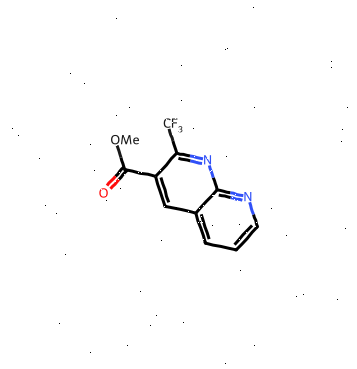 COC(=O)c1cc2cccnc2nc1C(F)(F)F